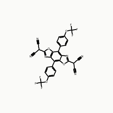 N#CC(C#N)c1nc2c(-c3ccc(OC(F)(F)F)cc3)c3oc(C(C#N)C#N)nc3c(-c3ccc(OC(F)(F)F)cc3)c2o1